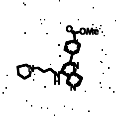 COC(=O)c1ccc(-c2cc(NCCCN3CCCCC3)c3cnccc3n2)cc1